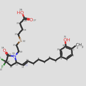 Cc1ccc(CCCCC/C=C/C2CC(F)(F)C(=O)N2CCSCCCC(=O)O)cc1O